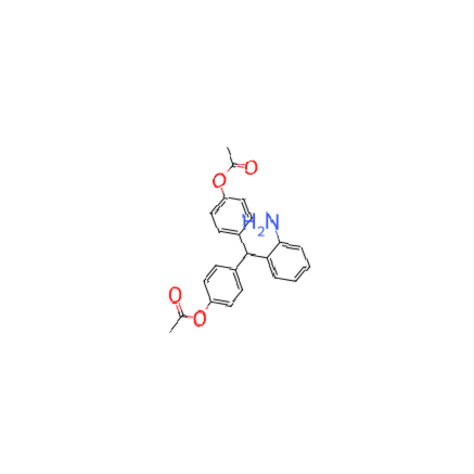 CC(=O)Oc1ccc(C(c2ccc(OC(C)=O)cc2)c2ccccc2N)cc1